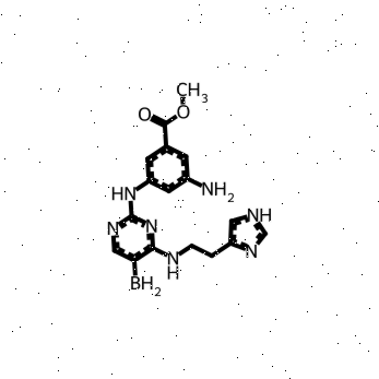 Bc1cnc(Nc2cc(N)cc(C(=O)OC)c2)nc1NCCc1c[nH]cn1